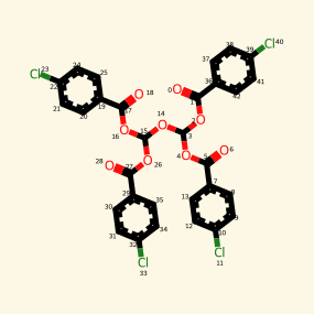 O=C(OC(OC(=O)c1ccc(Cl)cc1)OC(OC(=O)c1ccc(Cl)cc1)OC(=O)c1ccc(Cl)cc1)c1ccc(Cl)cc1